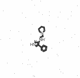 c1ccc(-c2c[nH]nc2NCCN2CCCCC2)cc1